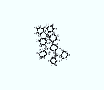 c1ccc(N(c2ccccc2)c2cccc(N(c3ccccc3)c3ccc4c(c3)C(c3ccccc3)(c3ccccc3)c3ccccc3-4)c2)cc1